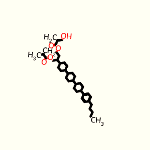 C=C(C)C(=O)OCC(CCOC(=O)C(=C)CO)C1CCC(C2CCC(C3CCC(c4ccc(CCCCC)cc4)CC3)CC2)CC1